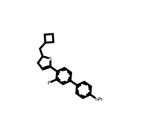 CCCc1ccc(-c2ccc(C3=CCC(CC4CCC4)S3)c(F)c2)cc1